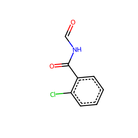 O=CNC(=O)c1ccccc1Cl